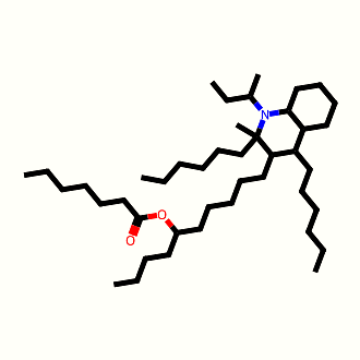 CCCCCCC(=O)OC(CCCC)CCCCCC1C(CCCCCC)C2CCCCC2N(C(C)CC)C1(C)CCCCCC